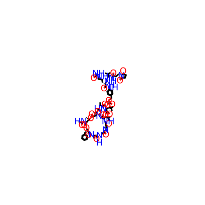 C=C1C(=O)N[C@@H](C)C(=O)N(C)[C@@H](C)C(=O)N[C@@H]([C@H](OC(=O)[C@@H](NC(=O)CC)[C@H](OC(=O)OCc2ccc(NC(=O)[C@H](CCCNC(N)=O)NC[C@@H](NC(=O)CCN3C(=O)C=CC3=O)C(C)C)cc2)C(C)C)C(C)C)C(=O)N(C)[C@@H]([C@@H](C)OC)C(=O)O[C@H](C)[C@H](NC(C)=O)C(=O)O[C@H](Cc2ccccc2)C(=O)N1C